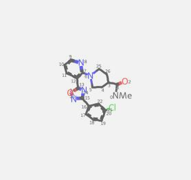 CNC(=O)C1CCN(c2ncccc2-c2nc(-c3cccc(Cl)c3)no2)CC1